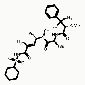 CN[C@H](C(=O)NC(C(=O)N(C)[C@H](/C=C(\C)C(=O)NS(=O)(=O)C1CCCCC1)C(C)C)C(C)(C)C)C(C)(C)c1ccccc1